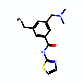 CC(C)Cc1cc(CN(C)C)cc(C(=O)Nc2nccs2)c1